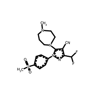 CN1CCCN(c2c(C#N)c(C(F)F)nn2-c2ccc(S(C)(=O)=O)cc2)CC1